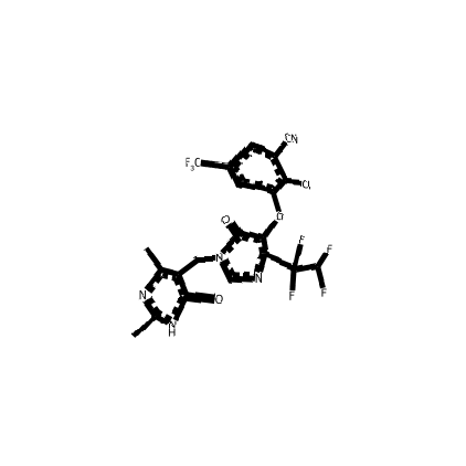 Cc1nc(C)c(Cn2cnc(C(F)(F)C(F)F)c(Oc3cc(C(F)(F)F)cc(C#N)c3Cl)c2=O)c(=O)[nH]1